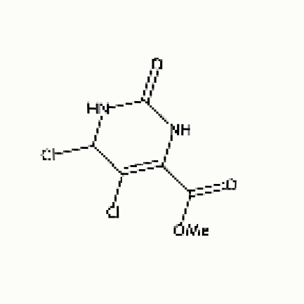 COC(=O)C1=C(Cl)C(Cl)NC(=O)N1